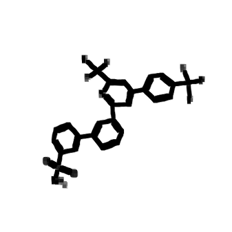 NS(=O)(=O)c1cccc(-c2cccc(-c3cc(-c4ccc(C(F)(F)F)cc4)cc(C(F)(F)F)n3)c2)c1